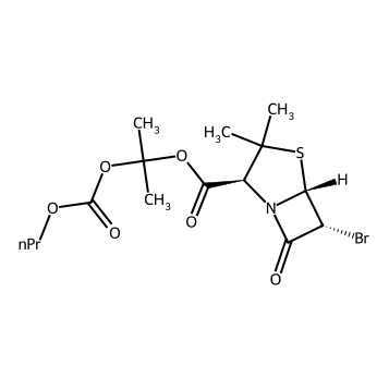 CCCOC(=O)OC(C)(C)OC(=O)[C@@H]1N2C(=O)[C@@H](Br)[C@H]2SC1(C)C